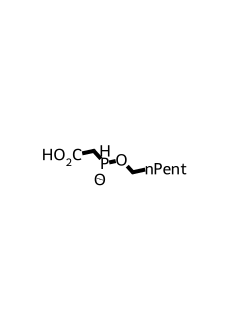 CCCCCCO[PH](=O)CC(=O)O